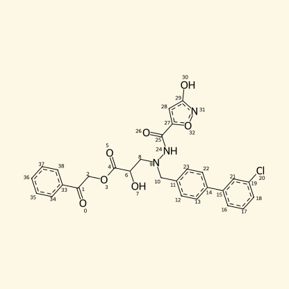 O=C(COC(=O)C(O)CN(Cc1ccc(-c2cccc(Cl)c2)cc1)NC(=O)c1cc(O)no1)c1ccccc1